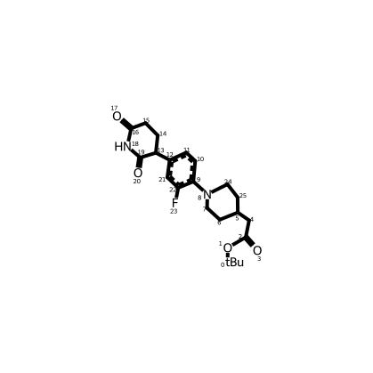 CC(C)(C)OC(=O)CC1CCN(c2ccc(C3CCC(=O)NC3=O)cc2F)CC1